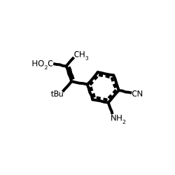 C/C(C(=O)O)=C(\c1ccc(C#N)c(N)c1)C(C)(C)C